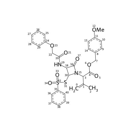 C=C(C)C(C(=O)OCc1ccc(OC)cc1)N1C(=O)C(NC(=O)COc2ccccc2)C1SS(=O)(=O)c1ccccc1